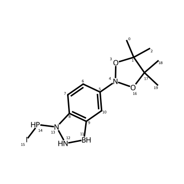 CC1(C)ON(c2ccc3c(c2)BNN3PI)OC1(C)C